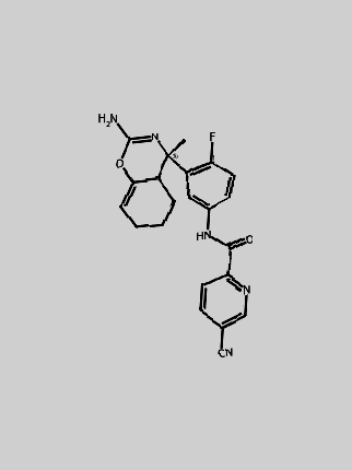 C[C@]1(c2cc(NC(=O)c3ccc(C#N)cn3)ccc2F)N=C(N)OC2=CCCCC21